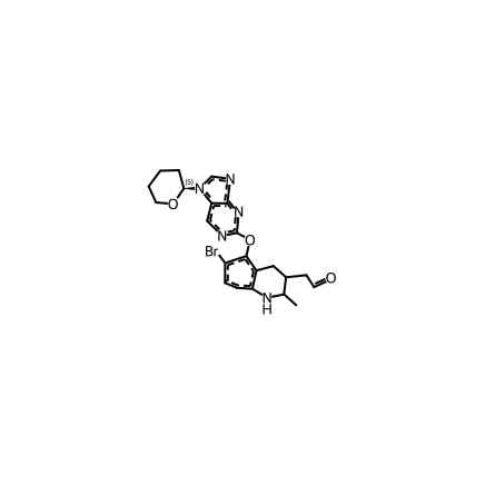 CC1Nc2ccc(Br)c(Oc3ncc4c(ncn4[C@@H]4CCCCO4)n3)c2CC1CC=O